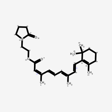 CC(=CC=C/C(C)=C\C(=O)OCCN1CCCC1=O)/C=C/C1=C(C)CCCC1(C)C